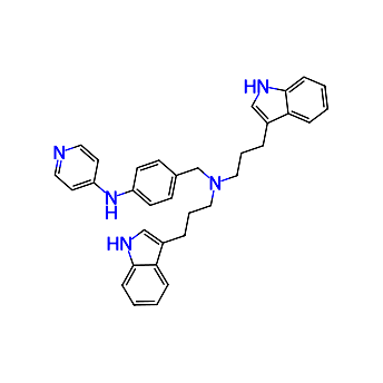 c1ccc2c(CCCN(CCCc3c[nH]c4ccccc34)Cc3ccc(Nc4ccncc4)cc3)c[nH]c2c1